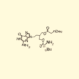 CCCCCCCCCCCC(=O)OCC(CCn1cnc2c(=O)[nH]c(N)nc21)COC(=O)[C@@H](N)[C@@H](C)CC